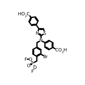 O=C(O)c1ccc(-c2csc(N(Cc3ccc(CP(=O)(OF)OF)c(Br)c3)c3ccc(C(=O)O)cc3)n2)cc1